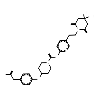 CC1(C)CC(=O)N(CCc2ccc(OC(=O)N3CCC(Oc4ccc(CC(=O)O)cc4)CC3)nc2)C(=O)C1